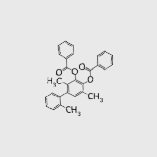 Cc1ccccc1-c1cc(C)c(OC(=O)c2ccccc2)c(OC(=O)c2ccccc2)c1C